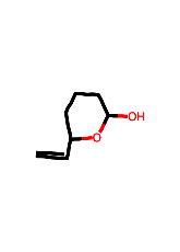 C=CC1CCCC(O)O1